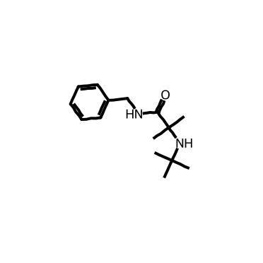 CC(C)(C)NC(C)(C)C(=O)NCc1ccccc1